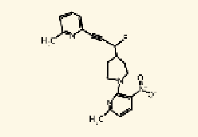 Cc1cccc(C#CC(F)C2CCN(c3nc(C)ccc3[N+](=O)[O-])CC2)n1